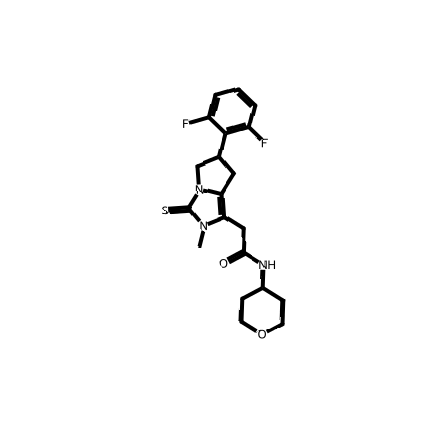 Cn1c(CC(=O)NC2CCOCC2)c2n(c1=S)CC(c1c(F)cccc1F)C2